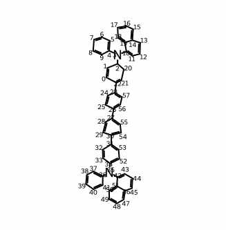 C1=CC(N(c2ccccc2)c2cccc3ccccc23)CC=C1c1ccc(-c2ccc(-c3ccc(N(c4ccccc4)c4cccc5ccccc45)cc3)cc2)cc1